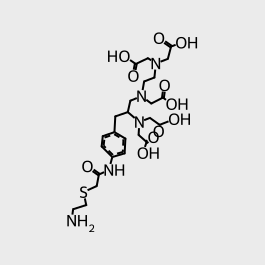 NCCSCC(=O)Nc1ccc(CC(CN(CCN(CC(=O)O)CC(=O)O)CC(=O)O)N(CC(=O)O)CC(=O)O)cc1